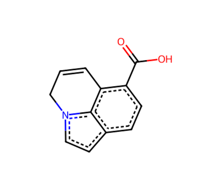 O=C(O)c1ccc2ccn3c2c1C=CC3